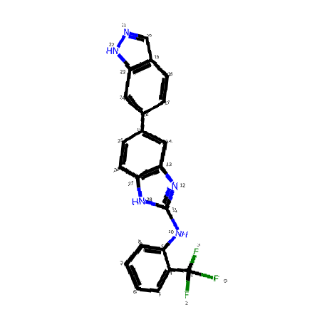 FC(F)(F)c1ccccc1Nc1nc2cc(-c3ccc4cn[nH]c4c3)ccc2[nH]1